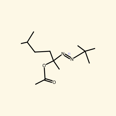 CC(=O)OC(C)(CCC(C)C)/N=N/C(C)(C)C